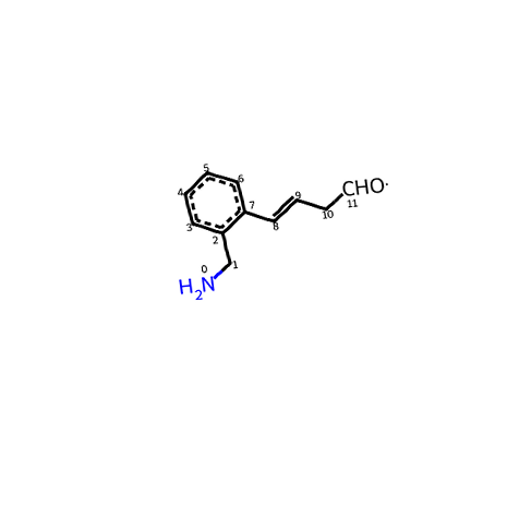 NCc1ccccc1C=CC[C]=O